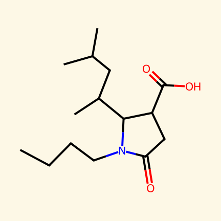 CCCCN1C(=O)CC(C(=O)O)C1C(C)CC(C)C